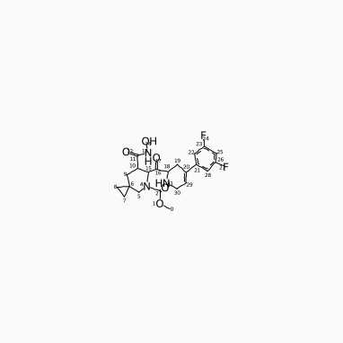 COC(=O)N1CC2(CC2)CC(C(=O)NO)C1C(=O)C1CC(c2cc(F)cc(F)c2)=CCN1